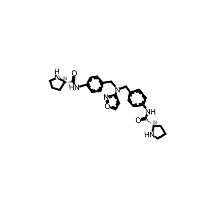 O=C(Nc1ccc(CN(Cc2ccc(NC(=O)[C@@H]3CCCN3)cc2)c2ccon2)cc1)[C@@H]1CCCN1